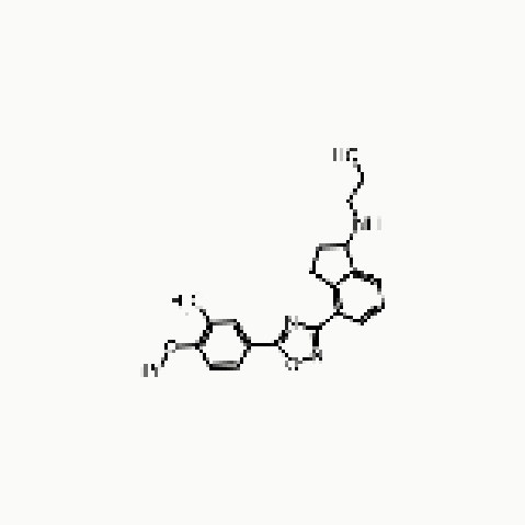 Cc1cc(-c2nc(-c3cccc4c3CCC4NCCO)no2)ccc1OC(C)C